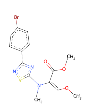 COC=C(C(=O)OC)N(C)c1nc(-c2ccc(Br)cc2)ns1